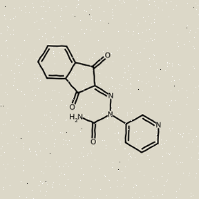 NC(=O)N(N=c1c(=O)c2ccccc2c1=O)c1cccnc1